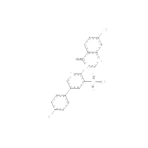 CCS(=O)(=O)c1cc(-c2ccc(F)cc2)cnc1-n1cnc2cc(C(F)(F)F)ccc2c1=O